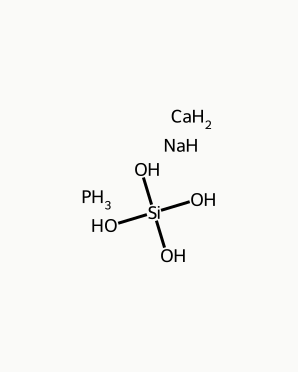 O[Si](O)(O)O.P.[CaH2].[NaH]